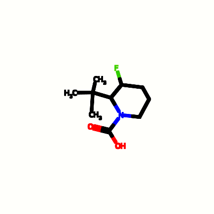 CC(C)(C)C1C(F)CCCN1C(=O)O